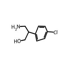 NCC(CO)c1ccc(Cl)cc1